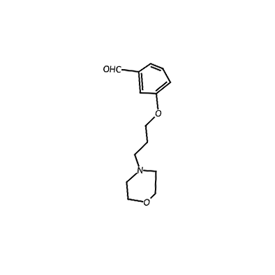 O=Cc1cccc(OCCCN2CCOCC2)c1